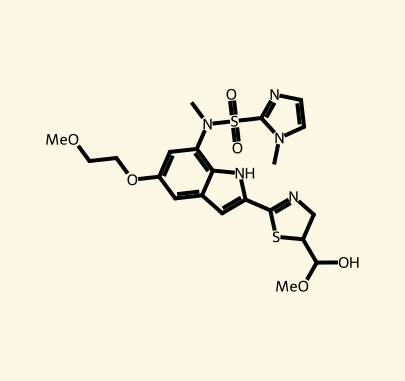 COCCOc1cc(N(C)S(=O)(=O)c2nccn2C)c2[nH]c(C3=NCC(C(O)OC)S3)cc2c1